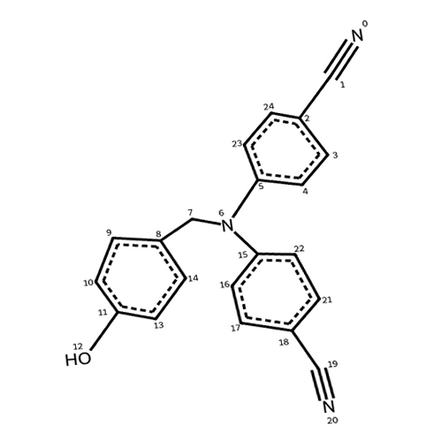 N#Cc1ccc(N(Cc2ccc(O)cc2)c2ccc(C#N)cc2)cc1